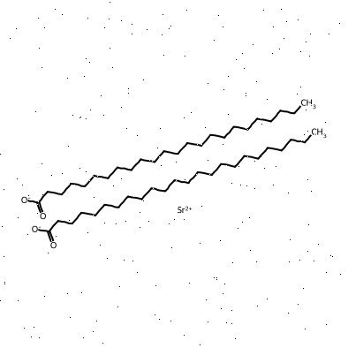 CCCCCCCCCCCCCCCCCCCCCCCC(=O)[O-].CCCCCCCCCCCCCCCCCCCCCCCC(=O)[O-].[Sr+2]